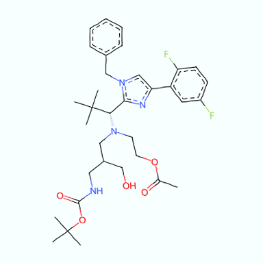 CC(=O)OCCN(CC(CO)CNC(=O)OC(C)(C)C)[C@@H](c1nc(-c2cc(F)ccc2F)cn1Cc1ccccc1)C(C)(C)C